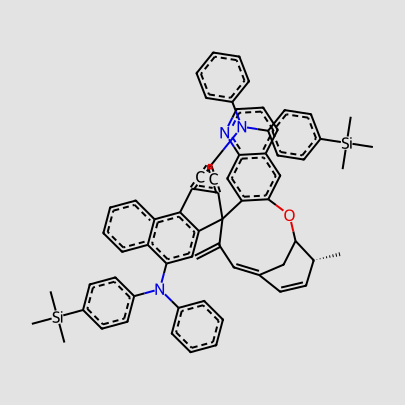 C=C1/C=C2/C=C[C@@H](C)C(C2)Oc2cc3cccnc3cc2C12c1cc(N(c3ccccc3)c3ccc([Si](C)(C)C)cc3)ccc1-c1c2cc(N(c2ccccc2)c2ccc([Si](C)(C)C)cc2)c2ccccc12